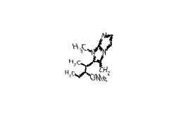 C=c1/c(=C(C)\C(=C/C)OC)n(C)c2nccn12